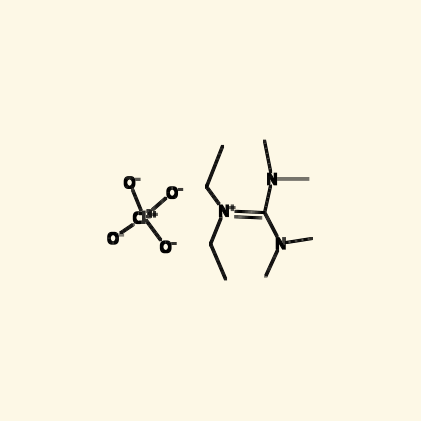 CC[N+](CC)=C(N(C)C)N(C)C.[O-][Cl+3]([O-])([O-])[O-]